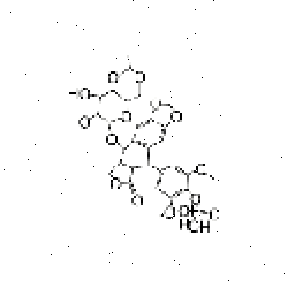 COc1cc(C2c3cc4c(cc3C(OC3OC5COC(C)OC5C(O)C3O)C3COC(=O)C23)OCO4)cc(OC)c1OP(=O)(O)O